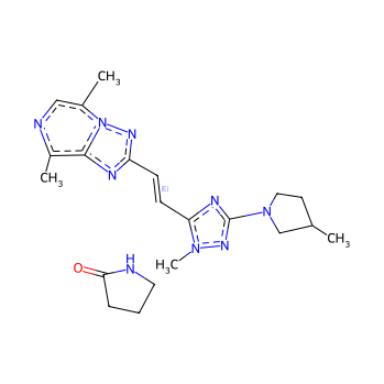 Cc1ncc(C)n2nc(/C=C/c3nc(N4CCC(C)C4)nn3C)nc12.O=C1CCCN1